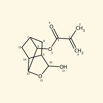 C=C(C)C(=O)OC1C2CC3C(O)OC1C3C2